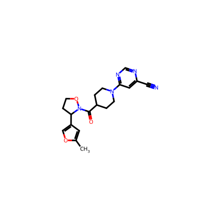 Cc1cc(C2CCON2C(=O)C2CCN(c3cc(C#N)ncn3)CC2)co1